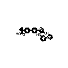 Cc1noc(-c2ccc(-c3ccc(C4(C(=O)O)CC4)cc3)cc2)c1Nc1cccc(-n2cccn2)n1